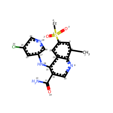 CCS(=O)(=O)c1cc(C)c2ncc(C(N)=O)c(Nc3cncc(Cl)c3)c2c1